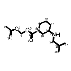 CC(=O)OCOC(=O)N1CCCC(NCC(C)C)C1